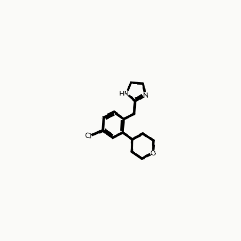 Clc1ccc(CC2=NCCN2)c(C2CCOCC2)c1